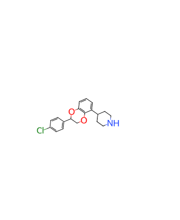 Clc1ccc(C2COc3c(cccc3C3CCNCC3)O2)cc1